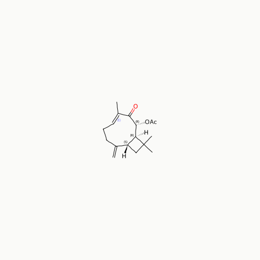 C=C1CC/C=C(\C)C(=O)[C@H](OC(C)=O)[C@@H]2[C@@H]1CC2(C)C